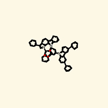 c1ccc(-c2cc(-n3c4ccc(-c5ccccc5)cc4c4cc(-c5ccccc5)ccc43)cc(-n3c4ccccc4c4ccc5c(-c6ccccc6)cn(-c6ccccc6)c5c43)c2)cc1